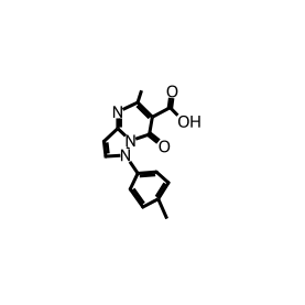 Cc1ccc(-n2ccc3nc(C)c(C(=O)O)c(=O)n32)cc1